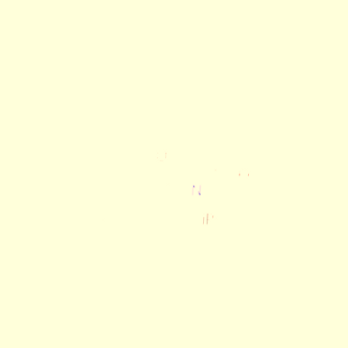 CC(C)N(C(=O)c1ccccc1)C(=O)c1ccccc1